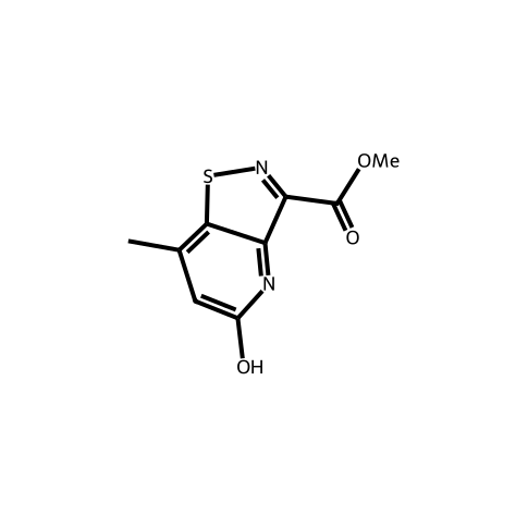 COC(=O)c1nsc2c(C)cc(O)nc12